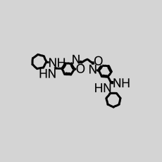 N=C(NC1CCCCCC1)c1ccc2oc(Cc3nc4cc(C(=N)NC5CCCCCC5)ccc4o3)nc2c1